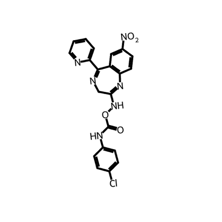 O=C(Nc1ccc(Cl)cc1)ONC1=Nc2ccc([N+](=O)[O-])cc2C(c2ccccn2)=NC1